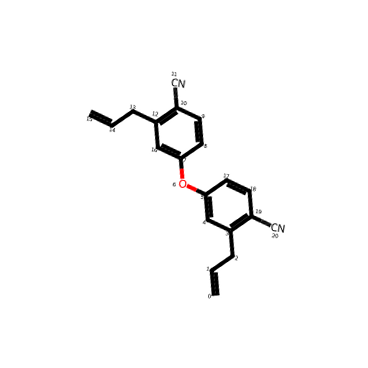 C=CCc1cc(Oc2ccc(C#N)c(CC=C)c2)ccc1C#N